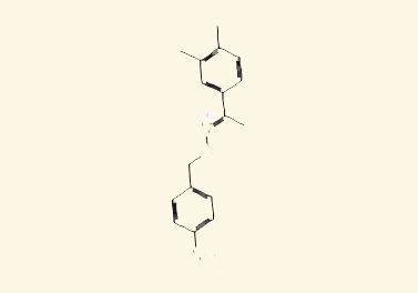 C/C(=N\OCc1ccc([N+](=O)[O-])cc1)c1ccc(C)c(C)c1